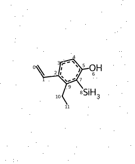 C=Cc1ccc(O)c([SiH3])c1CC